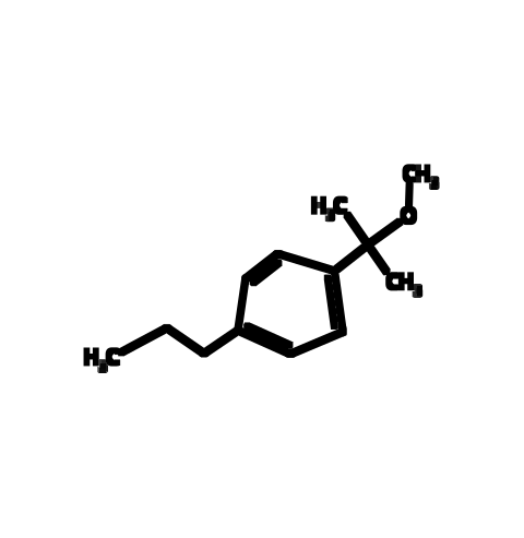 CCCc1ccc(C(C)(C)OC)cc1